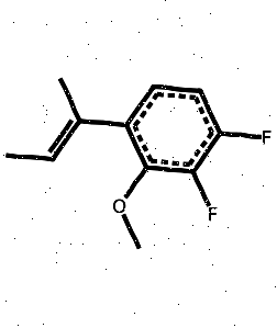 CC=C(C)c1ccc(F)c(F)c1OC